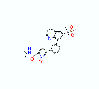 CC(C)NC(=O)c1ccc(-c2cccc(-c3cc(C(C)(C)S(C)(=O)=O)cc4cccnc34)c2)c[n+]1[O-]